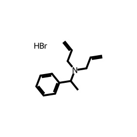 Br.C=CCN(CC=C)C(C)c1ccccc1